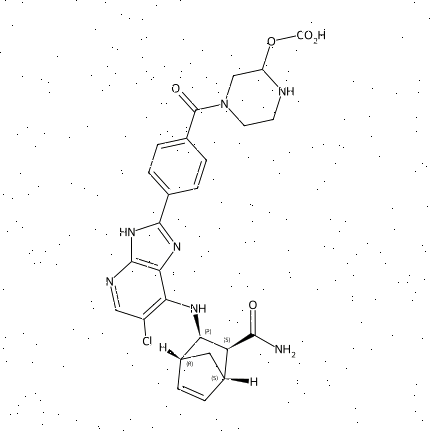 NC(=O)[C@@H]1[C@H](Nc2c(Cl)cnc3[nH]c(-c4ccc(C(=O)N5CCNC(OC(=O)O)C5)cc4)nc23)[C@H]2C=C[C@@H]1C2